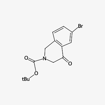 CC(C)(C)OC(=O)N1CC(=O)c2cc(Br)ccc2C1